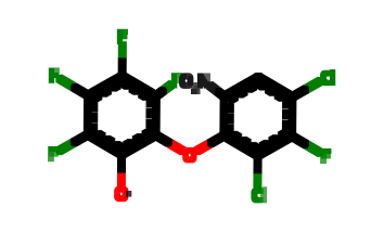 [O]c1c(F)c(F)c(F)c(F)c1Oc1c([N+](=O)[O-])cc(Cl)c(F)c1Cl